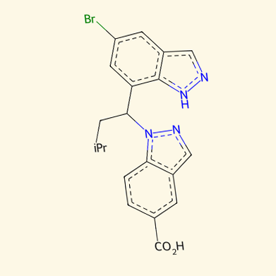 CC(C)CC(c1cc(Br)cc2cn[nH]c12)n1ncc2cc(C(=O)O)ccc21